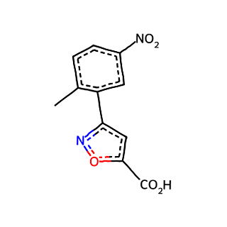 Cc1ccc([N+](=O)[O-])cc1-c1cc(C(=O)O)on1